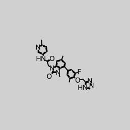 Cc1cc(-c2cc(C)c(OCc3nnc[nH]3)c(F)c2)c2c(c1)n(CC(=O)Nc1ccc(C)nc1)c(=O)n2C